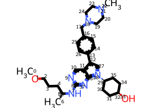 COCCC[C@H](C)Nc1ncc2c(-c3ccc(CN4CCN(C)CC4)cc3)cn([C@H]3CC[C@H](O)CC3)c2n1